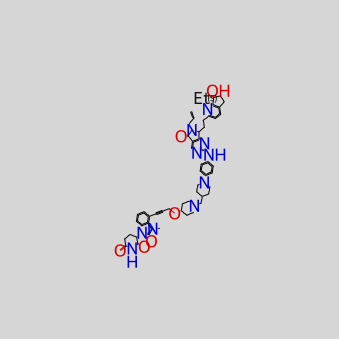 C=CCN1C(=O)c2cnc(Nc3ccc(N4CCC(CN5CCC(OCC#Cc6cccc7c6n(C)c(=O)n7C6CCC(=O)NC6=O)CC5)CC4)cc3)nc2C1CCc1ccc2c(n1)[C@](O)(CC)CC2